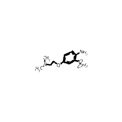 COc1cc(OCCN(C)C)ccc1N